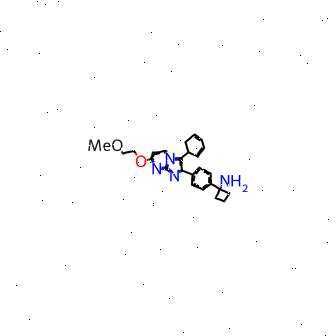 COCCOc1ccn2c(C3C=CC=CC3)c(-c3ccc(C4(N)CCC4)cc3)nc2n1